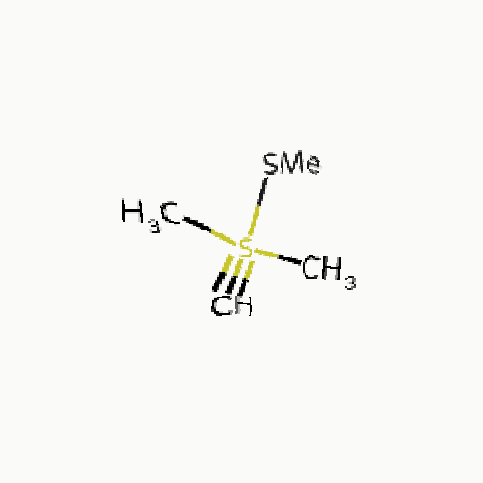 C#S(C)(C)SC